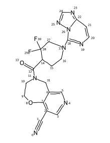 N#Cc1cncc2c1OCCN(C(=O)C1CCN(c3nccc4ncnn34)CC1(F)F)C2